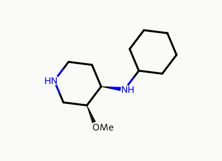 CO[C@H]1CNCC[C@H]1NC1CCCCC1